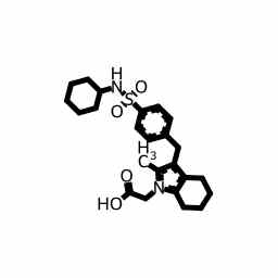 Cc1c(Cc2ccc(S(=O)(=O)NC3CCCCC3)cc2)c2c(n1CC(=O)O)CCCC2